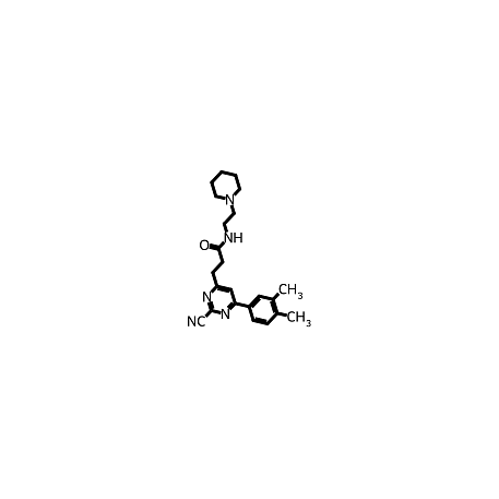 Cc1ccc(-c2cc(CCC(=O)NCCN3CCCCC3)nc(C#N)n2)cc1C